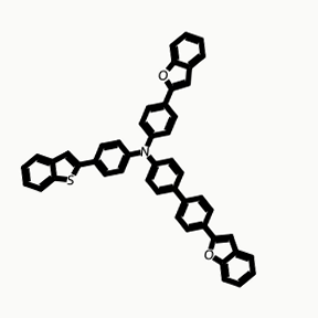 c1ccc2oc(-c3ccc(-c4ccc(N(c5ccc(-c6cc7ccccc7o6)cc5)c5ccc(-c6cc7ccccc7s6)cc5)cc4)cc3)cc2c1